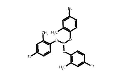 CCc1ccc(OP(Oc2ccc(CC)cc2C)Oc2ccc(CC)cc2C)c(C)c1